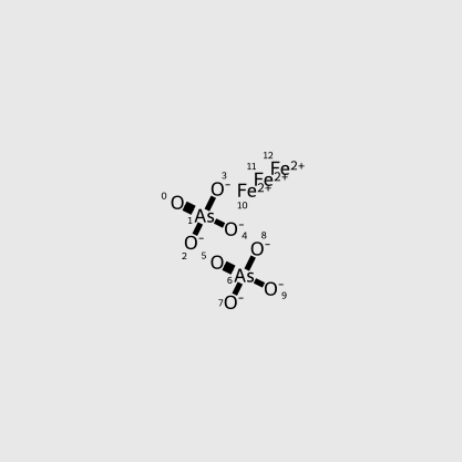 O=[As]([O-])([O-])[O-].O=[As]([O-])([O-])[O-].[Fe+2].[Fe+2].[Fe+2]